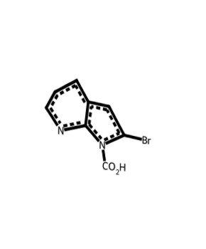 O=C(O)n1c(Br)cc2cccnc21